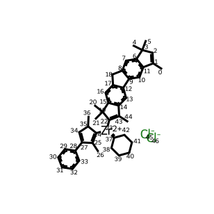 CC1=CC(C)(C)c2cc3c(cc21)-c1cc2c(cc1C3)C(C)(C)[C]([Zr+2]([C]1=C(C)C(c3ccccc3)=CC1C)=[C]1CCCCC1)=C2C.[Cl-].[Cl-]